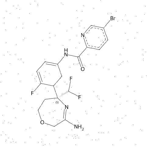 NC1=N[C@](C(F)F)(C2CC(NC(=O)c3ccc(Br)cn3)=CC=C2F)CCOC1